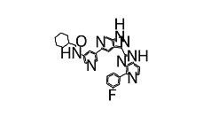 O=C(Nc1cncc(-c2cc3c(-c4nc5c(-c6cccc(F)c6)nccc5[nH]4)n[nH]c3cn2)c1)C1CCCCC1